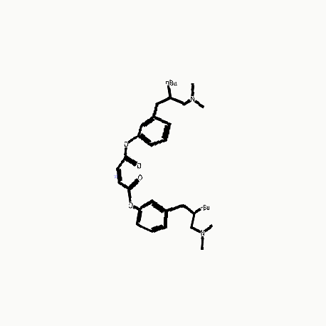 CCCCC(Cc1cccc(OC(=O)/C=C\C(=O)Oc2cccc(CC(CCCC)CN(C)C)c2)c1)CN(C)C